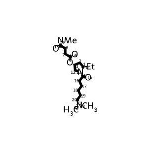 CC[C@@H]1C[C@@H](OC(=O)CCC(=O)NC)CN1C(=O)CCCCCN(C)C